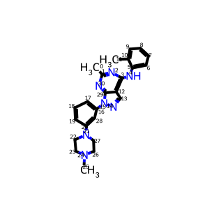 Cc1nc(Nc2ccccc2C)c2cnn(-c3cccc(N4CCN(C)CC4)c3)c2n1